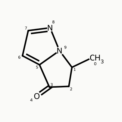 CC1CC(=O)c2ccnn21